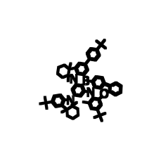 Cc1cc(C(C)(C)C)cc(C)c1N1c2cc(N3c4ccc(C(C)(C)C)cc4C4(C)CCCCC34C)cc3c2B(c2cc(-c4ccc(C(C)(C)C)cc4)cc4c2N3C2(C)CCCCC42C)c2ccc3c(oc4ccccc43)c21